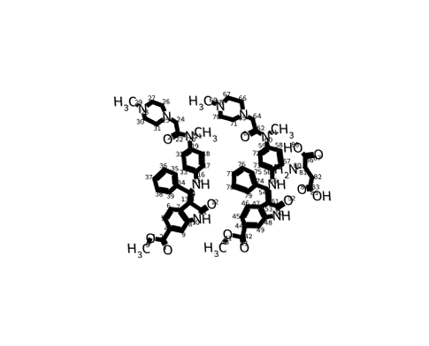 COC(=O)c1ccc2c(c1)NC(=O)/C2=C(\Nc1ccc(N(C)C(=O)CN2CCN(C)CC2)cc1)c1ccccc1.COC(=O)c1ccc2c(c1)NC(=O)/C2=C(\Nc1ccc(N(C)C(=O)CN2CCN(C)CC2)cc1)c1ccccc1.N[C@@H](CC(=O)O)C(=O)O